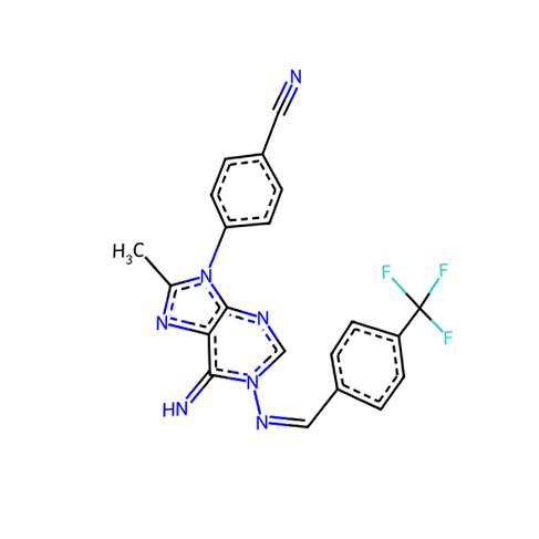 Cc1nc2c(=N)n(/N=C\c3ccc(C(F)(F)F)cc3)cnc2n1-c1ccc(C#N)cc1